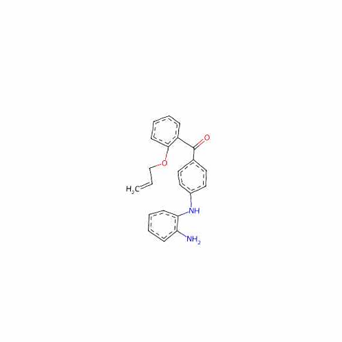 C=CCOc1ccccc1C(=O)c1ccc(Nc2ccccc2N)cc1